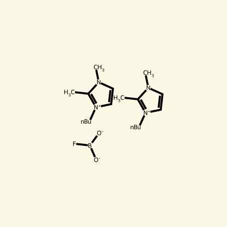 CCCC[n+]1ccn(C)c1C.CCCC[n+]1ccn(C)c1C.[O-]B([O-])F